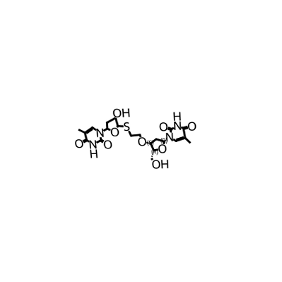 Cc1cn(C2CC(O)C(SCCO[C@H]3C[C@H](n4cc(C)c(=O)[nH]c4=O)O[C@@H]3CO)O2)c(=O)[nH]c1=O